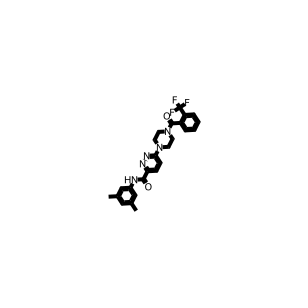 Cc1cc(C)cc(NC(=O)c2ccc(N3CCN(C(=O)c4ccccc4C(F)(F)F)CC3)nn2)c1